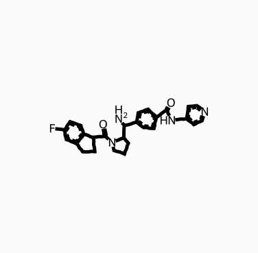 NC(c1ccc(C(=O)Nc2ccncc2)cc1)C1CCCN1C(=O)C1CCc2cc(F)ccc21